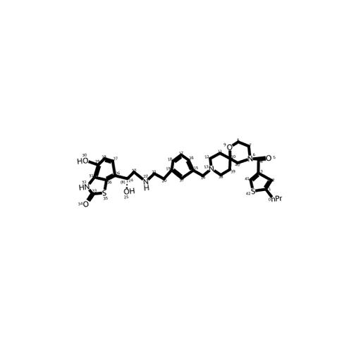 CCCc1cc(C(=O)N2CCOC3(CCN(Cc4cccc(CCNC[C@H](O)c5ccc(O)c6[nH]c(=O)sc56)c4)CC3)C2)cs1